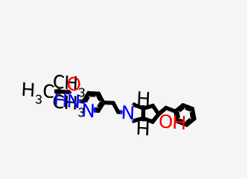 CC(C)(C)C(=O)Nc1ccc(CCN2C[C@@H]3C[C@@](O)(Cc4ccccc4)C[C@@H]3C2)cn1